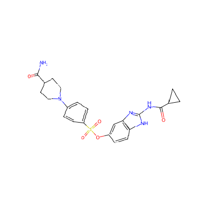 NC(=O)C1CCN(c2ccc(S(=O)(=O)Oc3ccc4[nH]c(NC(=O)C5CC5)nc4c3)cc2)CC1